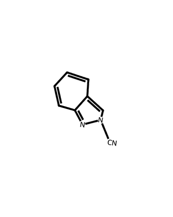 N#Cn1cc2ccccc2n1